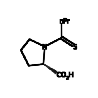 CCCC(=S)N1CCC[C@H]1C(=O)O